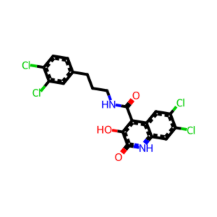 O=C(NCCCc1ccc(Cl)c(Cl)c1)c1c(O)c(=O)[nH]c2cc(Cl)c(Cl)cc12